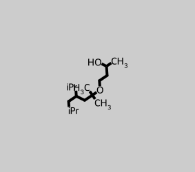 CC(C)CC(CC(C)(C)OCCC(C)O)C(C)C